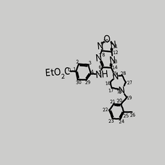 CCOC(=O)c1ccc(Nc2nc3nonc3nc2N2CCN(Cc3ccccc3C)CC2)cc1